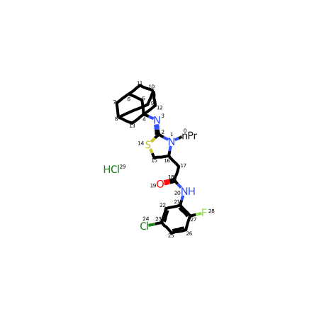 CCCN1C(=NC23CC4CC(CC(C4)C2)C3)SCC1CC(=O)Nc1cc(Cl)ccc1F.Cl